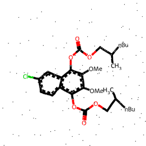 CCCCC(C)COC(=O)Oc1c(OC)c(OC)c(OC(=O)OCC(C)CCCC)c2cc(Cl)ccc12